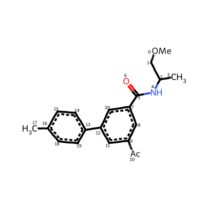 COCC(C)NC(=O)c1cc(C(C)=O)cc(-c2ccc(C)cc2)c1